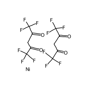 O=C(CC(=O)C(F)(F)F)C(F)(F)F.O=C(CC(=O)C(F)(F)F)C(F)(F)F.[Ni]